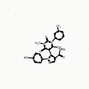 CNC(=O)c1cnn(-c2ccc(C#N)cc2)c1-c1c(C)n(-c2cccc(C(F)(F)F)c2)c(=O)n(C)c1=O